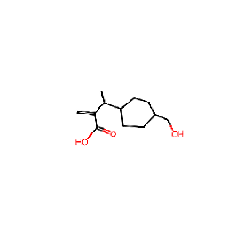 C=C(C(=O)O)C(C)C1CCC(CO)CC1